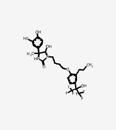 CCCc1cc(C(O)(C(F)(F)F)C(F)(F)F)ccc1OCCCCN1C(=O)NC(C)(c2ccc(O)c(O)c2)C1O